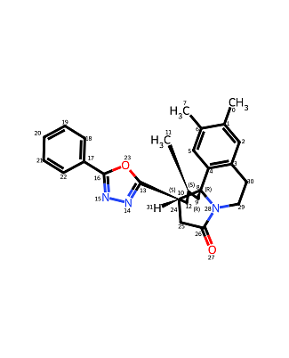 Cc1cc2c(cc1C)[C@@]13C[C@H](C)[C@@H](c4nnc(-c5ccccc5)o4)[C@@H]1CC(=O)N3CC2